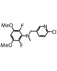 COc1cc(OC)c(F)c(N(C)Cc2ccc(Cl)nc2)c1F